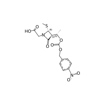 CS[C@@H]1[C@@H]([C@H](C)OC(=O)OCc2ccc([N+](=O)[O-])cc2)C(=O)N1CC(=O)O